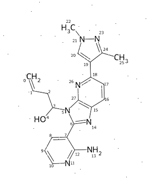 C=CCC(O)n1c(-c2cccnc2N)nc2ccc(-c3cn(C)nc3C)nc21